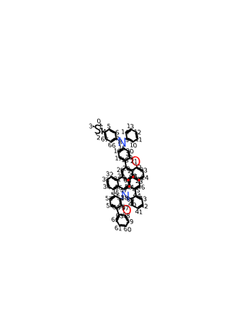 C[Si](C)(C)c1ccc(N(c2ccccc2)c2ccc3c(c2)Oc2cccc4c2c-3cc2c3ccccc3c(N(c3ccccc3-c3ccccc3)c3cccc5c3oc3ccccc35)cc42)cc1